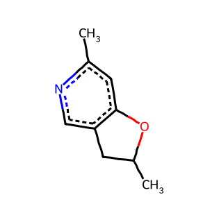 Cc1cc2c(cn1)CC(C)O2